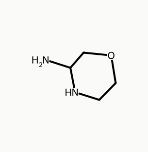 NC1COCCN1